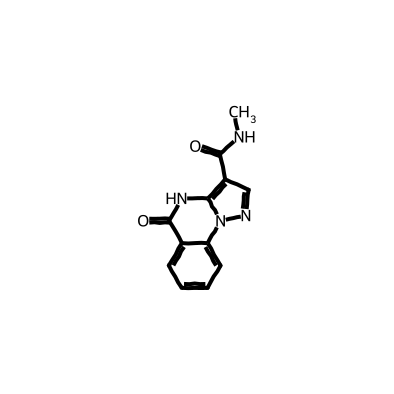 CNC(=O)c1cnn2c1[nH]c(=O)c1ccccc12